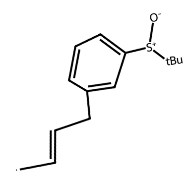 [CH2]C=CCc1cccc([S+]([O-])C(C)(C)C)c1